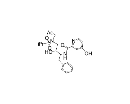 CC(=O)CN(CC(O)C(Cc1ccccc1)NC(=O)c1cc(O)ccn1)S(=O)(=O)C(C)C